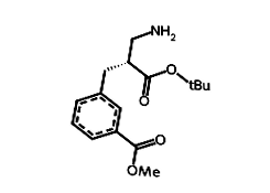 COC(=O)c1cccc(C[C@H](CN)C(=O)OC(C)(C)C)c1